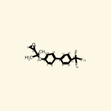 CC(C)(Oc1ccc(-c2ccc(C(F)(F)F)cc2)cc1)C1CO1